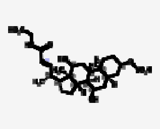 C[C@H](/C=C/C(=O)NCC(=O)O)[C@H]1CC[C@H]2[C@@H]3[C@H](O)C[C@@H]4C[C@H](OS(=O)(=O)O)CC[C@]4(C)[C@H]3C[C@H](O)[C@]12C